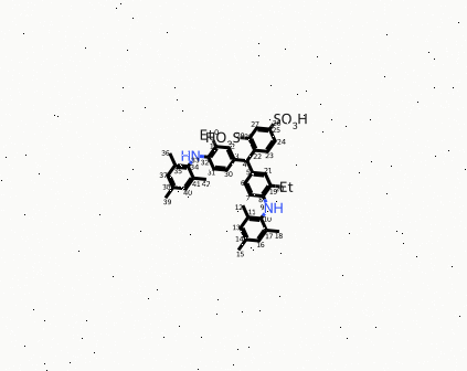 CCc1cc(C(c2ccc(Nc3c(C)cc(C)cc3C)c(CC)c2)c2ccc(S(=O)(=O)O)cc2S(=O)(=O)O)ccc1Nc1c(C)cc(C)cc1C